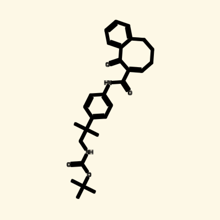 CC(C)(C)OC(=O)NCC(C)(C)c1ccc(NC(=O)/C2=C/CCCc3ccccc3C2=O)cc1